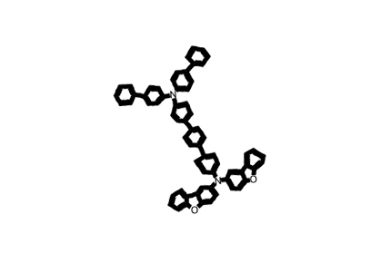 c1ccc(-c2ccc(N(c3ccc(-c4ccccc4)cc3)c3ccc(-c4ccc(-c5ccc(N(c6ccc7oc8ccccc8c7c6)c6ccc7oc8ccccc8c7c6)cc5)cc4)cc3)cc2)cc1